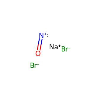 [Br-].[Br-].[N+]=O.[Na+]